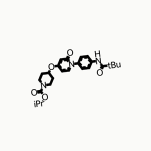 CC(C)OC(=O)N1CCC(Oc2ccn(-c3ccc(NC(=O)C(C)(C)C)cc3)c(=O)c2)CC1